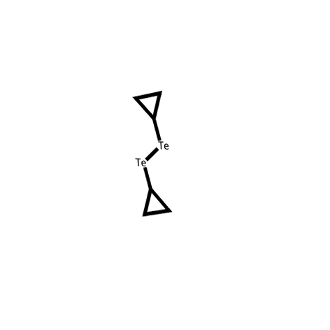 C1CC1[Te][Te]C1CC1